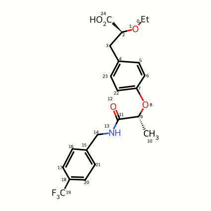 CCO[C@@H](Cc1ccc(O[C@H](C)C(=O)NCc2ccc(C(F)(F)F)cc2)cc1)C(=O)O